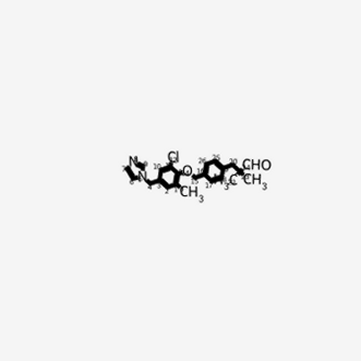 Cc1cc(Cn2ccnc2)cc(Cl)c1OCc1ccc(CC(C)(C)C=O)cc1